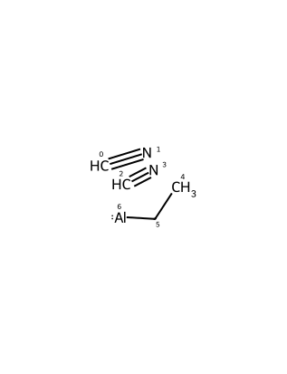 C#N.C#N.C[CH2][Al]